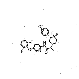 CC(C(=O)Nc1ccc(Oc2c(F)cccc2F)cn1)N1CCC(F)(F)[C@@H](c2cc[n+]([O-])cc2)C1